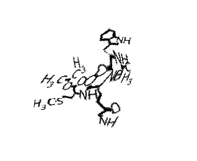 CSCC[C@H](NC(=O)[C@H](CCC(=O)C=N)NC(=O)[C@H](Cc1c[nH]c2ccccc12)NC(C)=O)C(=O)OC(C)C